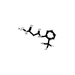 CNC(=O)CC(=O)Nc1ccccc1C(F)(F)F